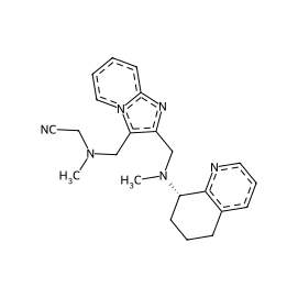 CN(CC#N)Cc1c(CN(C)[C@H]2CCCc3cccnc32)nc2ccccn12